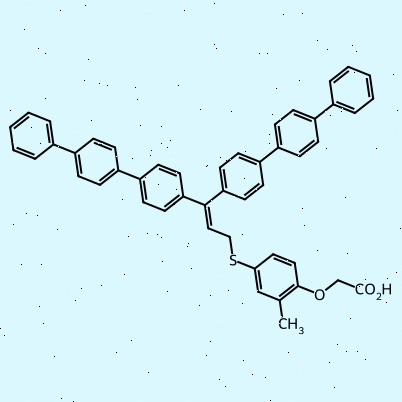 Cc1cc(SCC=C(c2ccc(-c3ccc(-c4ccccc4)cc3)cc2)c2ccc(-c3ccc(-c4ccccc4)cc3)cc2)ccc1OCC(=O)O